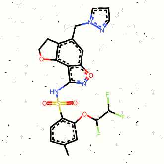 Cc1ccc(S(=O)(=O)Nc2noc3cc(Cn4cccn4)c4c(c23)OCC4)c(OC(F)C(F)F)c1